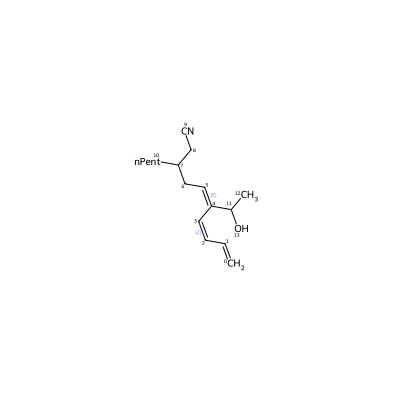 C=C/C=C\C(=C/CC(CC#N)CCCCC)C(C)O